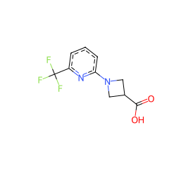 O=C(O)C1CN(c2cccc(C(F)(F)F)n2)C1